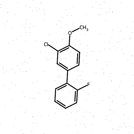 COc1ccc(-c2ccccc2F)cc1Cl